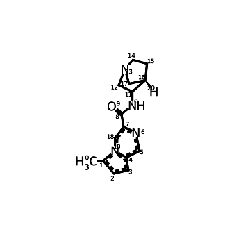 Cc1ccc2cnc(C(=O)NC3CN4CC[C@H]3C4)cn12